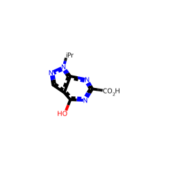 CC(C)n1ncc2c(O)nc(C(=O)O)nc21